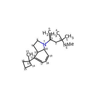 C=C(CC(C)(C)NC)N1CCC2C(C3(C)CCC3)=CC=CC21